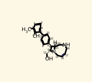 Cc1cccc(-c2ccc([C@@H]3[C@@H](CO)N4C/C=C\CNC[C@@H]34)cc2)c1C